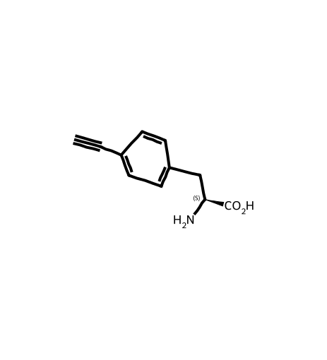 C#Cc1ccc(C[C@H](N)C(=O)O)cc1